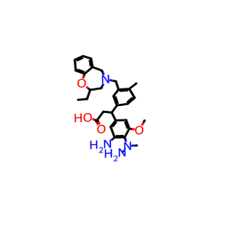 CCC1CN(Cc2cc(C(CC(=O)O)c3cc(N)c(N(C)N)c(OC)c3)ccc2C)Cc2ccccc2O1